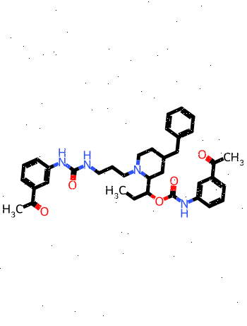 CCC(OC(=O)Nc1cccc(C(C)=O)c1)C1CC(Cc2ccccc2)CCN1CCCNC(=O)Nc1cccc(C(C)=O)c1